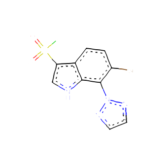 O=S(=O)(Cl)c1c[nH]c2c(-n3nccn3)c(Br)ccc12